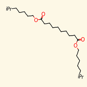 CC(C)CCCCCOC(=O)CCCCCCCCC(=O)OCCCCCC(C)C